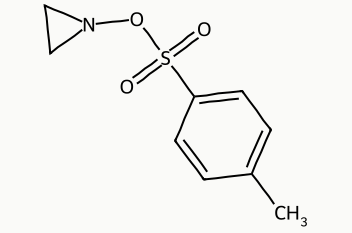 Cc1ccc(S(=O)(=O)ON2CC2)cc1